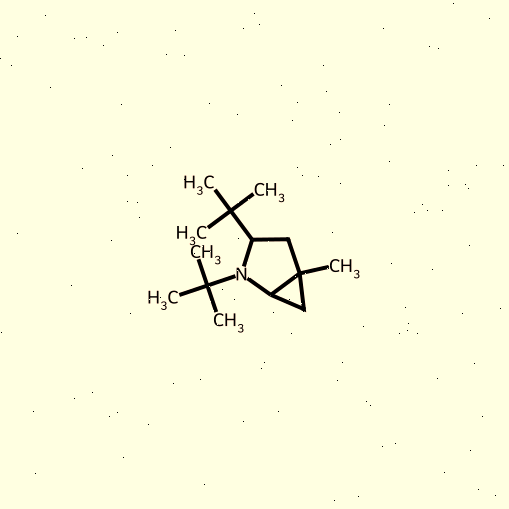 CC(C)(C)C1CC2(C)CC2N1C(C)(C)C